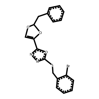 Brc1ccccc1CSc1nnc(C2=COC(Cc3ccccc3)O2)o1